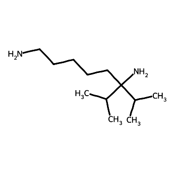 CC(C)C(N)(CCCCCN)C(C)C